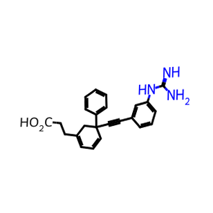 N=C(N)Nc1cccc(C#CC2(c3ccccc3)C=CC=C(CCC(=O)O)C2)c1